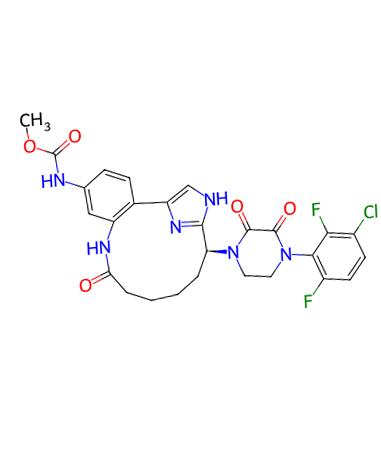 COC(=O)Nc1ccc2c(c1)NC(=O)CCCC[C@H](N1CCN(c3c(F)ccc(Cl)c3F)C(=O)C1=O)c1nc-2c[nH]1